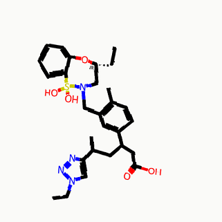 CC[C@@H]1CN(Cc2cc(C(CC(=O)O)CC(C)c3cn(CC)nn3)ccc2C)S(O)(O)c2ccccc2O1